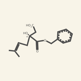 CC(C)=CC[C@@](O)(CC(=O)O)C(=O)OCc1ccccc1